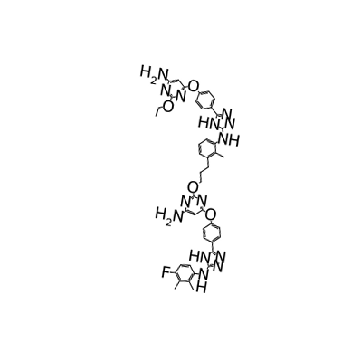 CCOc1nc(N)cc(Oc2ccc(-c3nnc(Nc4cccc(CCCOc5nc(N)cc(Oc6ccc(-c7nnc(Nc8ccc(F)c(C)c8C)[nH]7)cc6)n5)c4C)[nH]3)cc2)n1